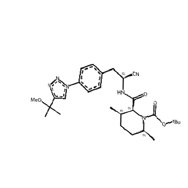 COC(C)(C)c1cn(-c2ccc(C[C@@H](C#N)NC(=O)[C@@H]3[C@H](C)CC[C@H](C)N3C(=O)OC(C)(C)C)cc2)nn1